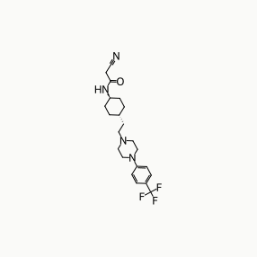 N#CCC(=O)N[C@H]1CC[C@H](CCN2CCN(c3ccc(C(F)(F)F)cc3)CC2)CC1